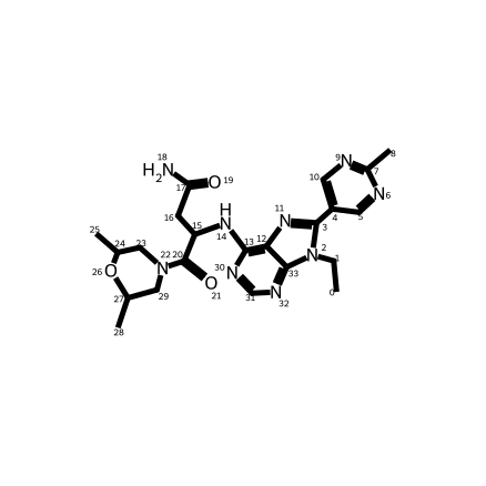 CCn1c(-c2cnc(C)nc2)nc2c(NC(CC(N)=O)C(=O)N3CC(C)OC(C)C3)ncnc21